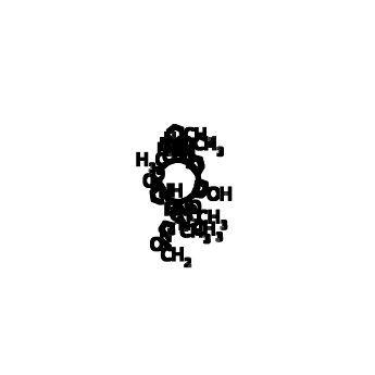 C=CC(=O)N1CC[C@H](C(=O)N(C)[C@H](C(=O)N[C@H]2Cc3cc(O)cc(c3)-c3ccc4c(c3)c(c(-c3cnn5c3[C@](C)(OC)CCC5)n4CC)CC(C)(C)COC(=O)[C@@H]3CCCN(N3)C2=O)C(C)C)C1